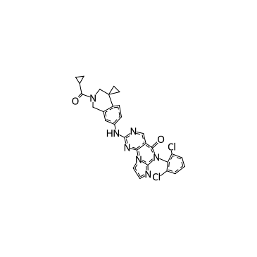 O=C(C1CC1)N1Cc2cc(Nc3ncc4c(=O)n(-c5c(Cl)cccc5Cl)c5nccn5c4n3)ccc2C2(CC2)C1